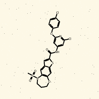 CS(=O)(=O)N1CCCOc2cc3sc(C(=O)Nc4cc(Cl)nc(Oc5ccc(Cl)cc5)c4)cc3cc21